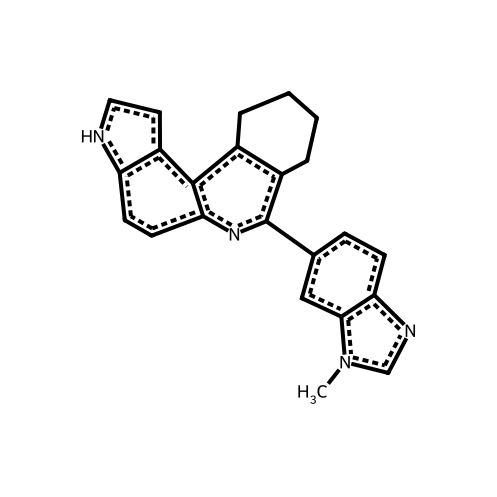 Cn1cnc2ccc(-c3nc4ccc5[nH]ccc5c4c4c3CCCC4)cc21